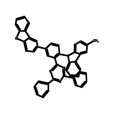 Cc1ccc2c(c1)c1ccccc1n2-c1ccc(-c2ccc3oc4ccccc4c3c2)cc1-c1nc(-c2ccccc2)nc(-c2ccccc2)n1